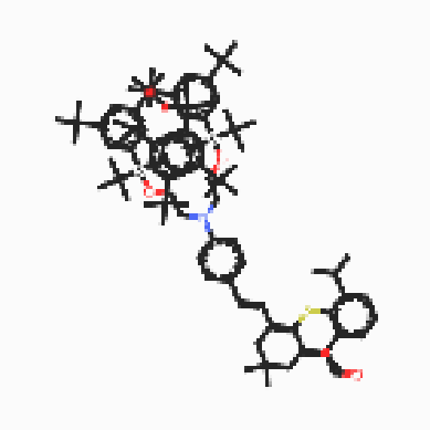 CC(C)c1cccc(C(C)C)c1SC1=C(/C=C/c2ccc(N(CCO[Si](c3cc(C(C)(C)C)cc(C(C)(C)C)c3)(c3cc(C(C)(C)C)cc(C(C)(C)C)c3)C(C)(C)C)CCO[Si](c3cc(C(C)(C)C)cc(C(C)(C)C)c3)(c3cc(C(C)(C)C)cc(C(C)(C)C)c3)C(C)(C)C)cc2)CC(C)(C)C/C1=C\C=O